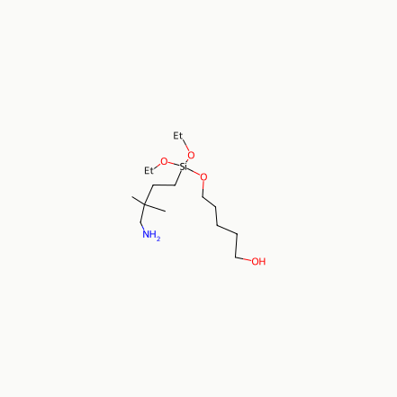 CCO[Si](CCC(C)(C)CN)(OCC)OCCCCCO